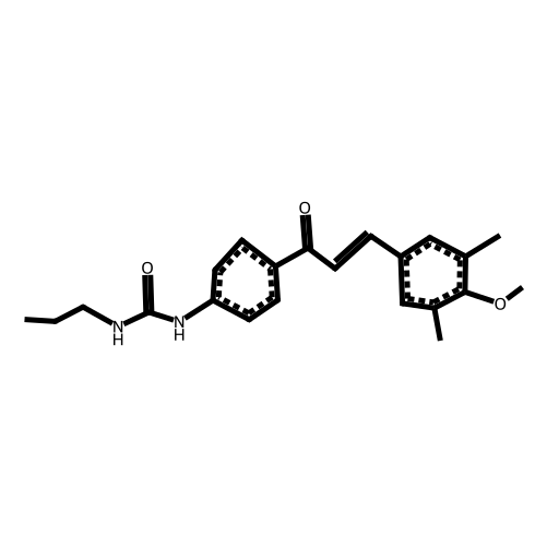 CCCNC(=O)Nc1ccc(C(=O)C=Cc2cc(C)c(OC)c(C)c2)cc1